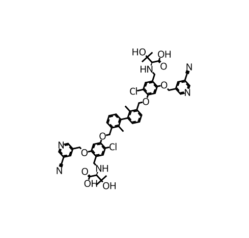 Cc1c(COc2cc(OCc3cncc(C#N)c3)c(CN[C@H](C(=O)O)C(C)(C)O)cc2Cl)cccc1-c1cccc(COc2cc(OCc3cncc(C#N)c3)c(CN[C@H](C(=O)O)C(C)(C)O)cc2Cl)c1C